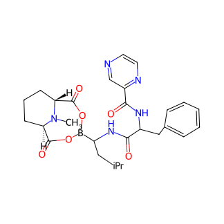 CC(C)CC(NC(=O)C(Cc1ccccc1)NC(=O)c1cnccn1)B1OC(=O)[C@H]2CCC[C@H](C(=O)O1)N2C